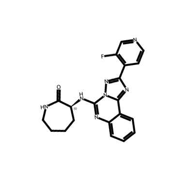 O=C1NCCCC[C@@H]1Nc1nc2ccccc2c2nc(-c3ccncc3F)nn12